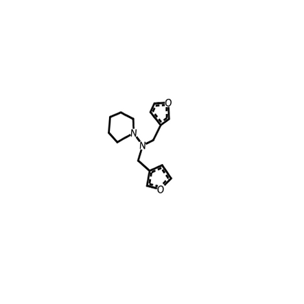 c1cc(CN(Cc2ccoc2)N2CCCCC2)co1